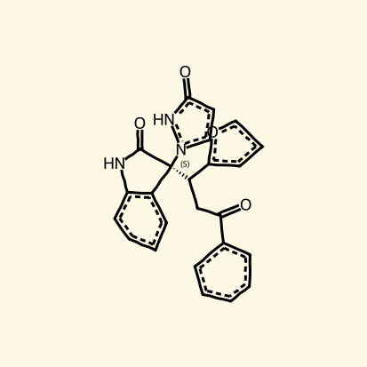 O=C(CC(c1ccco1)[C@@]1(n2ccc(=O)[nH]2)C(=O)Nc2ccccc21)c1ccccc1